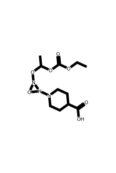 CCOC(=O)OC(C)On1on1N1CCC(C(=O)O)CC1